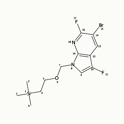 C[Si](C)(C)CCOCn1cc(F)c2cc(Br)c(F)nc21